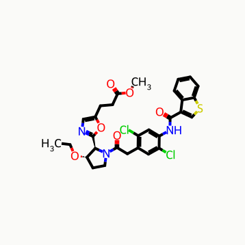 CCO[C@H]1CCN(C(=O)Cc2cc(Cl)c(NC(=O)c3csc4ccccc34)cc2Cl)[C@@H]1c1ncc(CCC(=O)OC)o1